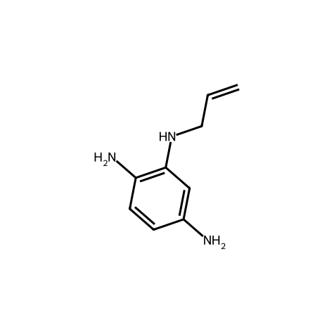 C=CCNc1cc(N)ccc1N